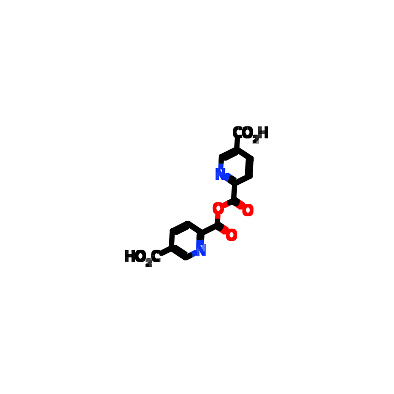 O=C(O)c1ccc(C(=O)OC(=O)c2ccc(C(=O)O)cn2)nc1